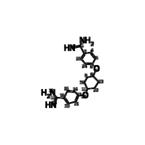 N=C(N)c1ccc(OC2CCC(Oc3ccc(C(=N)N)cc3)CC2)cc1